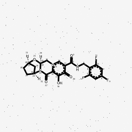 O=C(NCc1c(F)cc(F)cc1F)c1cn2c(c(O)c1=O)C(=O)N1[C@H]3CC[C@H](C3)O[C@H]1C2